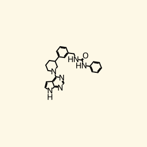 O=C(NCc1cccc(C2CCCN(c3ncnc4[nH]ccc34)C2)c1)Nc1ccccc1